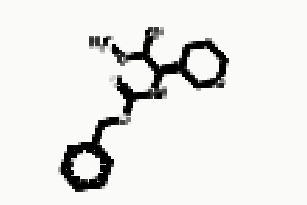 COC(O)/C(NC(=O)OCc1ccccc1)=C1\CCCOC1